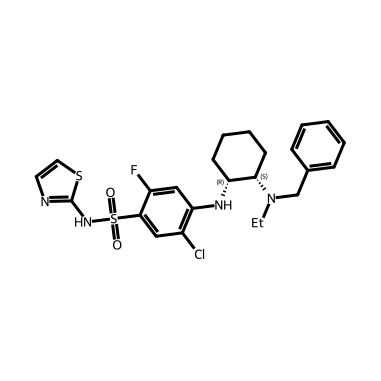 CCN(Cc1ccccc1)[C@H]1CCCC[C@H]1Nc1cc(F)c(S(=O)(=O)Nc2nccs2)cc1Cl